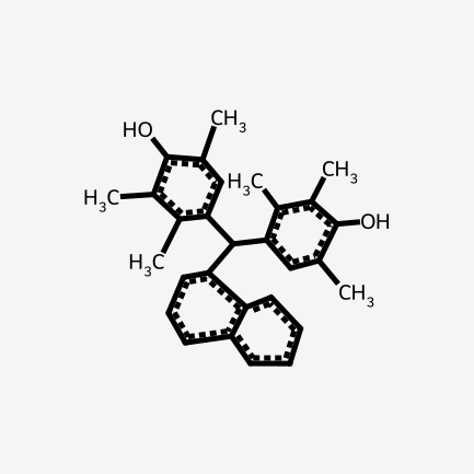 Cc1cc(C(c2cc(C)c(O)c(C)c2C)c2cccc3ccccc23)c(C)c(C)c1O